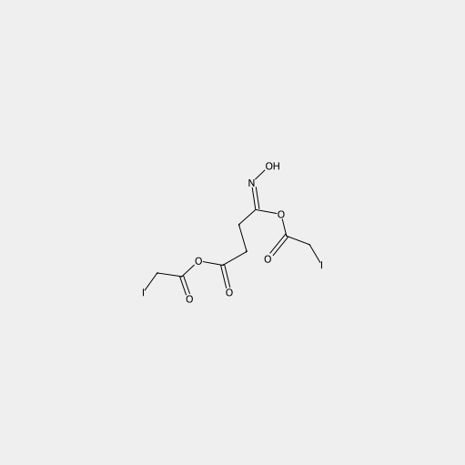 O=C(CI)OC(=O)CC/C(=N/O)OC(=O)CI